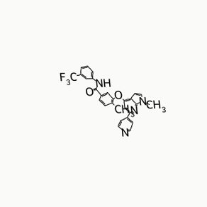 Cc1ccc(C(=O)Nc2cccc(C(F)(F)F)c2)cc1Oc1cc(-c2ccncc2)nc2c1ccn2C